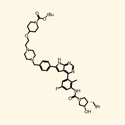 Cc1c(NC(=O)N2C[C@H](CC(C)C)[C@@H](O)C2)cc(F)cc1-c1ncnc2[nH]c(-c3ccc(CN4CCN(CCOC5CCN(C(=O)OC(C)(C)C)CC5)CC4)cc3)cc12